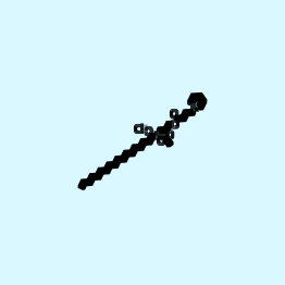 CCCCCCCCCCCCCCCCCC(=O)NCC(COC(=O)CCC[n+]1ccccc1)OC(C)=O.[Cl-]